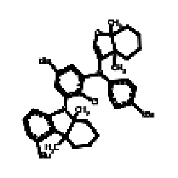 CC(C)(C)c1ccc(N(C2=COC3(C)CCCCC23C)c2cc(C(C)(C)C)cc(N3c4cccc(C(C)(C)C)c4C4(C)CCCCC34C)c2Cl)cc1